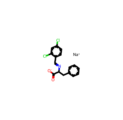 O=C([O-])C(Cc1ccccc1)N=Cc1ccc(Cl)cc1Cl.[Na+]